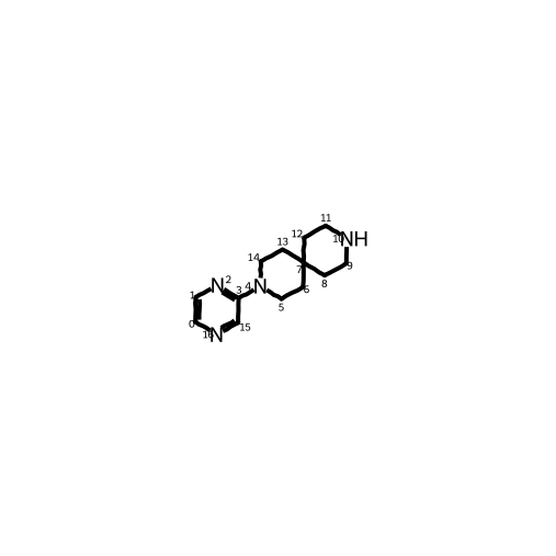 c1cnc(N2CCC3(CCNCC3)CC2)cn1